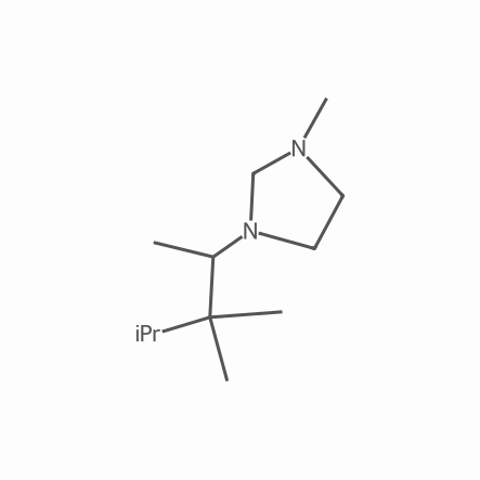 CC(C)C(C)(C)C(C)N1CCN(C)C1